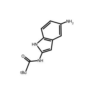 CC(C)(C)C(=O)Nc1cc2cc(N)ccc2[nH]1